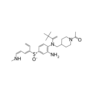 C=C/C(=C\C=C/NC)[S+]([O-])c1ccc(N(CC2CCN(C(C)=O)CC2)C(=C)C(C)(C)C)c(N)c1